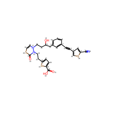 N#Cc1cc(C#Cc2cccc(CC(O)CCN3C=CSC(=O)N3CCc3ccc(C(=O)O)s3)c2)cs1